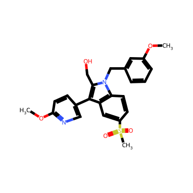 COc1cccc(Cn2c(CO)c(-c3ccc(OC)nc3)c3cc(S(C)(=O)=O)ccc32)c1